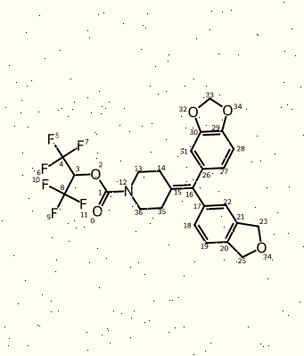 O=C(OC(C(F)(F)F)C(F)(F)F)N1CCC(=C(c2ccc3c(c2)COC3)c2ccc3c(c2)OCO3)CC1